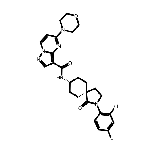 O=C(N[C@H]1CC[C@@]2(CCN(c3ccc(F)cc3Cl)C2=O)CC1)c1cnn2ccc(N3CCOCC3)nc12